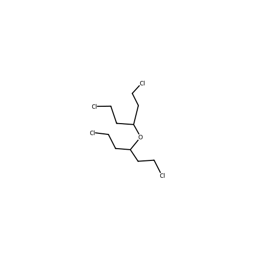 ClCCC(CCCl)OC(CCCl)CCCl